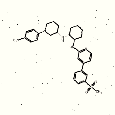 CS(=O)(=O)c1cccc(-c2ccnc(N[C@@H]3CCCC[C@H]3N[C@H]3CCCN(c4ccc(N)cc4)C3)c2)c1